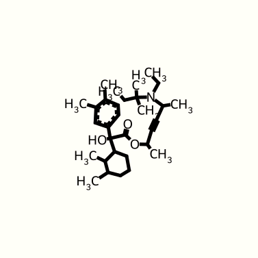 CCN(C(C)C#CC(C)OC(=O)C(O)(c1ccc(C)c(C)c1)C1CCCC(C)C1C)C(C)(C)CC